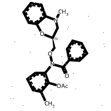 CC(=O)Oc1c(C)cccc1N(OC[C@@H]1CN(C)c2ccccc2O1)C(=O)c1ccccc1